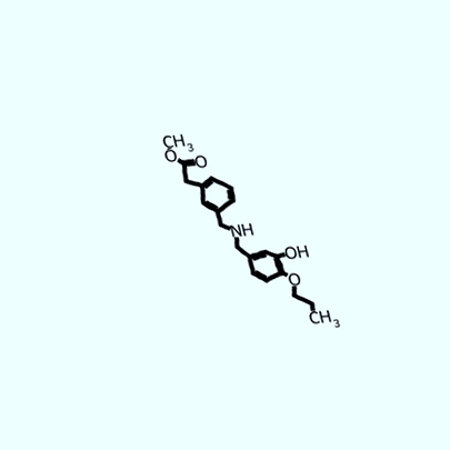 CCCOc1ccc(CNCc2cccc(CC(=O)OC)c2)cc1O